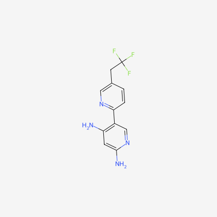 Nc1cc(N)c(-c2ccc(CC(F)(F)F)cn2)cn1